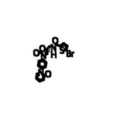 O=C(NC[C@H]1CN(c2ccc(-n3ccccc3=O)cc2)C(=O)O1)c1ccc(Br)s1